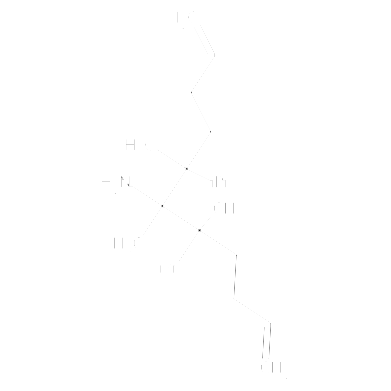 C=CCCC(C)(C(C)C)C(C)(N)C(C)(CCC=C)C(C)C